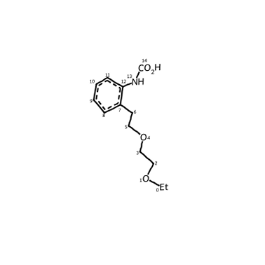 CCOCCOCCc1ccccc1NC(=O)O